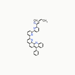 C=N/C(=C\C=C/C)c1cccc(-c2cccc(-c3ccc4ccc5c(-c6ccccc6)c6ccccc6nc5c4n3)n2)n1